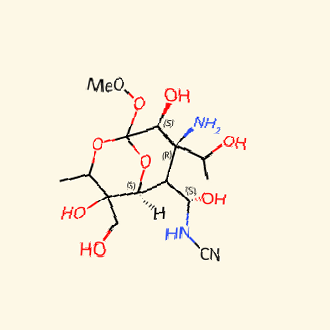 COOC12OC(C)C(O)(CO)[C@@H](O1)C([C@H](O)NC#N)[C@@](N)(C(C)O)[C@@H]2O